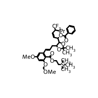 COCOc1cc(OC)cc(/C=C/CC2OC(C)(C)OC2C(/C=C\C(C(C)C)C(F)(F)F)OC(=O)c2ccccc2)c1C(=O)OCC[Si](C)(C)C